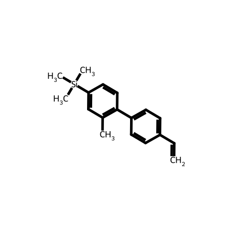 C=Cc1ccc(-c2ccc([Si](C)(C)C)cc2C)cc1